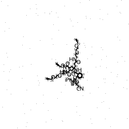 C#CCOCCOCCNC(=O)CCC(CCC(=O)NCCOCCOCC#C)(CCC(=O)NOCC#C)NC(=O)c1ccccc1OP(OCCC#N)N(C(C)C)C(C)C